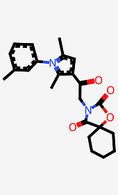 Cc1cccc(-n2c(C)cc(C(=O)CN3C(=O)OC4(CCCCC4)C3=O)c2C)c1